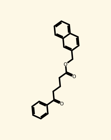 O=C(CCCC(=O)c1ccccc1)OCc1ccc2ccccc2c1